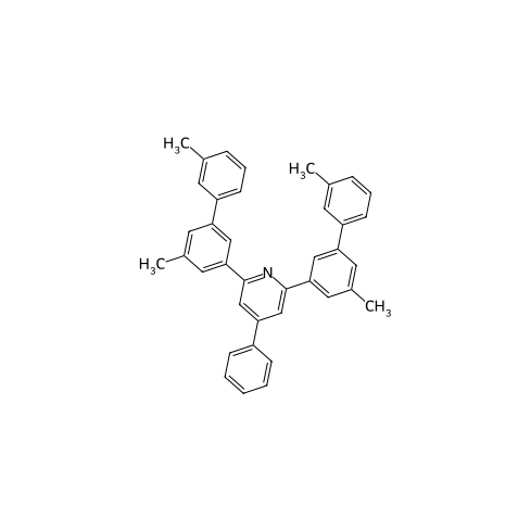 Cc1cccc(-c2cc(C)cc(-c3cc(-c4ccccc4)cc(-c4cc(C)cc(-c5cccc(C)c5)c4)n3)c2)c1